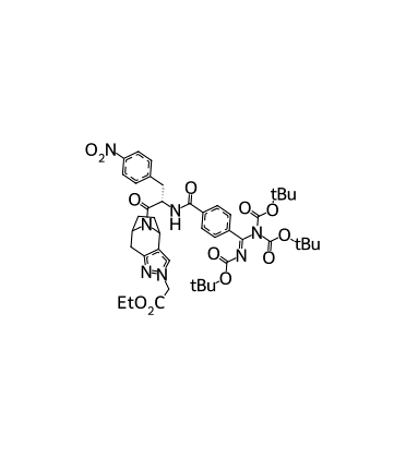 CCOC(=O)Cn1cc2c(n1)CC1CCC2N1C(=O)[C@H](Cc1ccc([N+](=O)[O-])cc1)NC(=O)c1ccc(C(=NC(=O)OC(C)(C)C)N(C(=O)OC(C)(C)C)C(=O)OC(C)(C)C)cc1